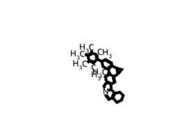 Cc1c(C)c(C)c(C2C=CC3=C(C2)[C@@]2(C)CC4=C(C=C2C2CC32)C2C3=C(C=CN2C4)CCCC3)c(C)c1C